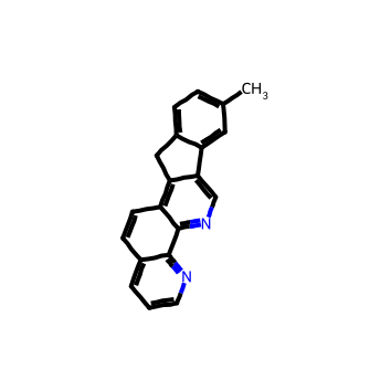 Cc1ccc2c(c1)-c1cnc3c(ccc4cccnc43)c1C2